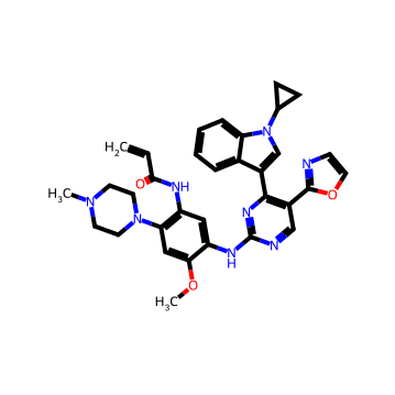 C=CC(=O)Nc1cc(Nc2ncc(-c3ncco3)c(-c3cn(C4CC4)c4ccccc34)n2)c(OC)cc1N1CCN(C)CC1